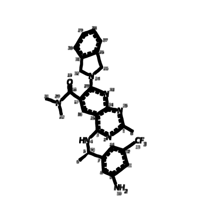 Cc1nc(N[C@H](C)c2cc(N)cc(C(F)(F)F)c2)c2cc(C(=O)N(C)C)c(N3Cc4ccccc4C3)nc2n1